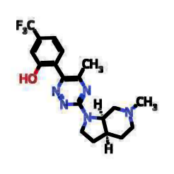 Cc1nc(N2CC[C@@H]3CCN(C)C[C@@H]32)nnc1-c1ccc(C(F)(F)F)cc1O